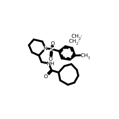 Cc1ccc(S(=O)(=O)N2CCCCC2CNC(=O)[C]2CCCCCCC2)cc1.[CH2].[CH2]